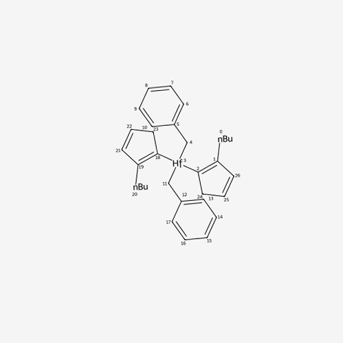 CCCCC1=[C]([Hf]([CH2]c2ccccc2)([CH2]c2ccccc2)[C]2=C(CCCC)C=CC2)CC=C1